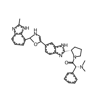 Cc1nc2cccc(C3NC=C(c4ccc5nc([C@@H]6CCCN6C(=O)[C@@H](c6ccccc6)N(C)C)[nH]c5c4)O3)c2[nH]1